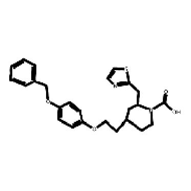 O=C(O)N1CCC(CCOc2ccc(OCc3ccccc3)cc2)CC1Cc1nccs1